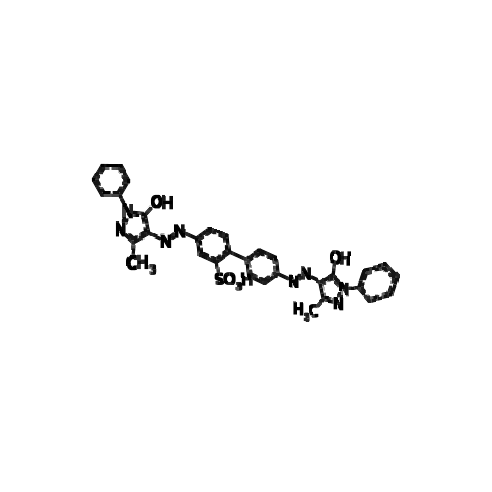 Cc1nn(-c2ccccc2)c(O)c1/N=N/c1ccc(-c2ccc(/N=N/c3c(C)nn(-c4ccccc4)c3O)cc2S(=O)(=O)O)cc1